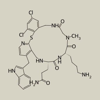 CN1CC(=O)NCc2cc(Cl)cc(Cl)c2Sc2nccc(Cc3c[nH]c4ccccc34)c2CN[C@@H](CCC(N)=O)C(=O)N[C@@H](CCCCN)C1=O